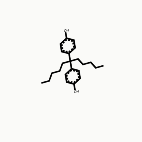 CCCCCC(CCCCC)(c1ccc(O)cc1)c1ccc(O)cc1